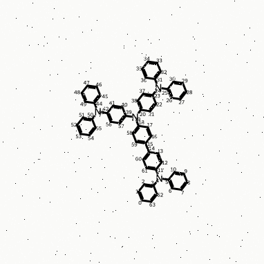 c1ccc(N(c2ccccc2)c2ccc(-c3ccc(N(c4ccc(N(c5ccccc5)c5ccccc5)cc4)c4ccc(N(c5ccccc5)c5ccccc5)cc4)cc3)cc2)cc1